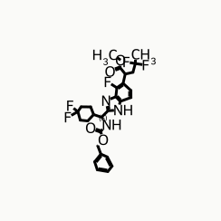 COC(=O)C(CC(C)(F)F)c1ccc2[nH]c([C@@H](NC(=O)OCc3ccccc3)C3CCC(F)(F)CC3)nc2c1F